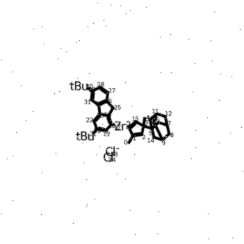 CC1=CC(C)(C23CC4CC(CC(C4)C2)C3)C=[C]1[Zr+2][c]1cc(C(C)(C)C)cc2c1Cc1ccc(C(C)(C)C)cc1-2.[Cl-].[Cl-]